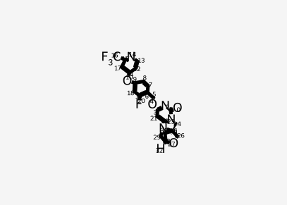 O=c1nc(OCc2ccc(Oc3ccnc(C(F)(F)F)c3)cc2F)cc2n1C[C@]13CO[C@H](CN21)C3